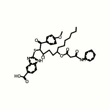 CCCCCCCC(CCC(Cl)C(Sc1nc2cc(C(=O)O)ccc2[nH]1)C(=O)c1ccc(OC)cc1)OC(=O)CC(=O)Nc1ccccc1